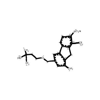 Cc1cc(COCCC(C)(O)C(F)(F)F)cc2c1Cc1c-2ccc(S(=O)(=O)O)c1C(F)(F)F